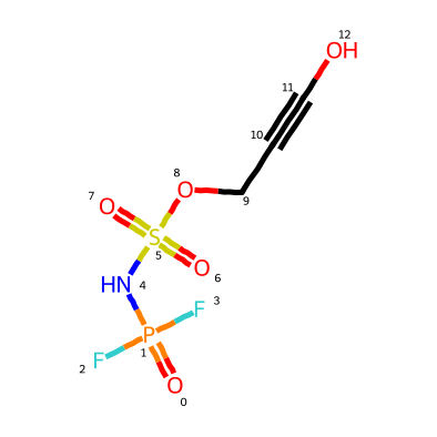 O=P(F)(F)NS(=O)(=O)OCC#CO